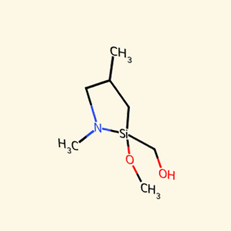 CO[Si]1(CO)CC(C)CN1C